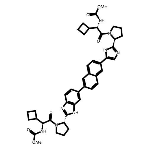 COC(=O)N[C@H](C(=O)N1CCC[C@H]1c1ncc(-c2ccc3cc(-c4ccc5nc([C@@H]6CCCN6C(=O)[C@@H](NC(=O)OC)C6CCC6)[nH]c5c4)ccc3c2)[nH]1)C1CCC1